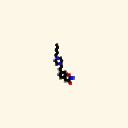 CCCCCN1CCN(CCc2ccc3c(c2)ONC(=O)C3)CC1